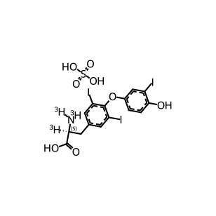 O=S(=O)(O)O.[3H]N([3H])[C@@]([3H])(Cc1cc(I)c(Oc2ccc(O)c(I)c2)c(I)c1)C(=O)O